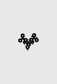 Cc1ccc2c3c4c(cc2c1)-n1ccc2c(N(c5ccccc5C)c5ccccc5C)ccc(c21)B4c1ccc(N(c2ccccc2)c2ccccc2)c2ccn-3c12